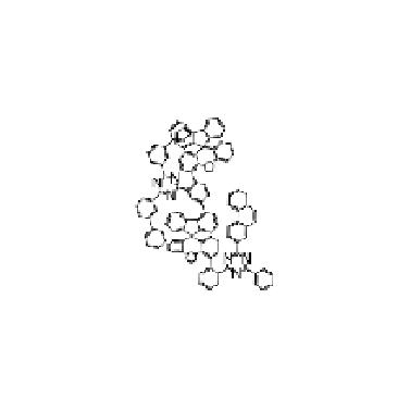 c1ccc(-c2cccc(-c3nc(-c4cccc(-c5ccccc5)c4)nc(-c4cc(-c5cccc6c5-c5ccccc5C65c6ccccc6Oc6c(-c7ccccc7-c7nc(-c8ccccc8)nc(-c8ccc9c(ccc%10ccccc%109)c8)n7)cccc65)ccc4-c4cccc5c4Oc4ccccc4C54c5ccccc5-c5ccccc54)n3)c2)cc1